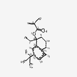 C=C(C)C(=O)OC1(CC)CCCc2ccc(C(F)(F)F)cc21